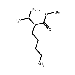 CCCCCC(N)N(CCCCN)C(=O)OC(C)(C)C